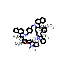 CN1/C(=C/C=C/C2=[N+](Cc3ccc(C[N+]4=C(/C=C/C=C5/N(C)c6ccccc6C5(C)Cc5ccc([N+](=O)[O-])cc5)C(C)(C)c5c4ccc4ccccc54)cc3)c3ccc4ccccc4c3C2(C)C)C(C)(Cc2ccc([N+](=O)[O-])cc2)c2ccccc21